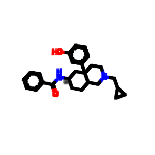 O=C(N[C@@H]1CCC2CN(CC3CC3)CCC2(c2cccc(O)c2)C1)c1ccccc1